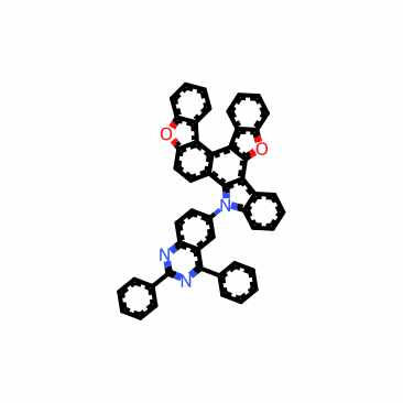 c1ccc(-c2nc(-c3ccccc3)c3cc(-n4c5ccccc5c5c6oc7ccccc7c6c6c(ccc7oc8ccccc8c76)c54)ccc3n2)cc1